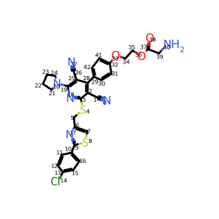 N#Cc1c(SCc2csc(-c3ccc(Cl)cc3)n2)nc(N2CCCC2)c(C#N)c1-c1ccc(OCCOC(=O)CN)cc1